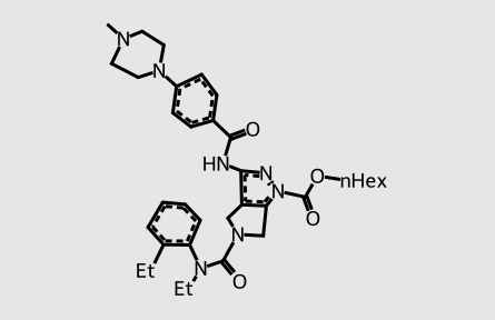 CCCCCCOC(=O)n1nc(NC(=O)c2ccc(N3CCN(C)CC3)cc2)c2c1CN(C(=O)N(CC)c1ccccc1CC)C2